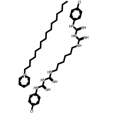 CCCCCCCCCCCCCCCC[n+]1ccccc1.N=C(NCCCCCCNC(=N)NC(=N)Nc1ccc(Cl)cc1)NC(=N)Nc1ccc(Cl)cc1